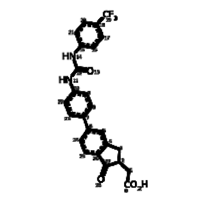 O=C(O)CC1Cc2cc(-c3ccc(NC(=O)Nc4ccc(C(F)(F)F)cc4)cc3)ccc2C1=O